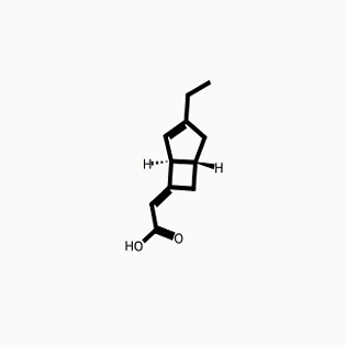 CCC1=C[C@@H]2C(=CC(=O)O)C[C@H]2C1